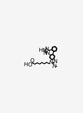 CN(C)c1nc2cc(-c3ccccc3-c3nn[nH]n3)ccc2n1CCCCCCCC(=O)O